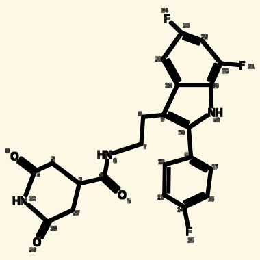 O=C1CC(C(=O)NCCc2c(-c3ccc(F)cc3)[nH]c3c(F)cc(F)cc23)CC(=O)N1